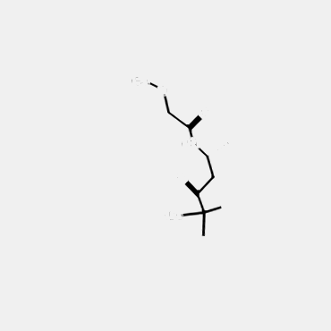 C[C@H](CC(=O)C(C)(C)C(C)(C)C)NC(=O)COC(C)(C)C